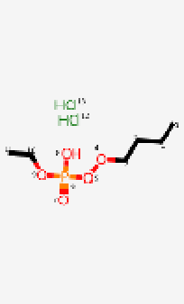 CCCCOOP(=O)(O)OCC.Cl.Cl